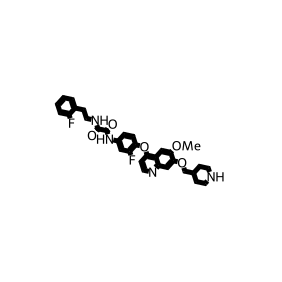 COc1cc2c(Oc3ccc(NC(=O)C(=O)NCCc4ccccc4F)cc3F)ccnc2cc1OCC1CCNCC1